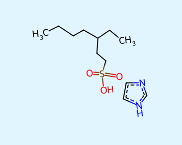 CCCCC(CC)CCS(=O)(=O)O.c1c[nH]cn1